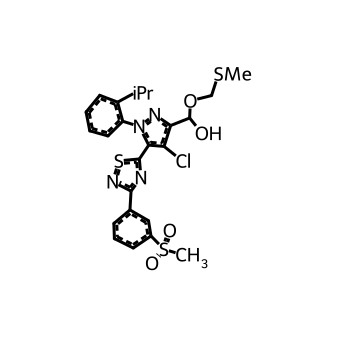 CSCOC(O)c1nn(-c2ccccc2C(C)C)c(-c2nc(-c3cccc(S(C)(=O)=O)c3)ns2)c1Cl